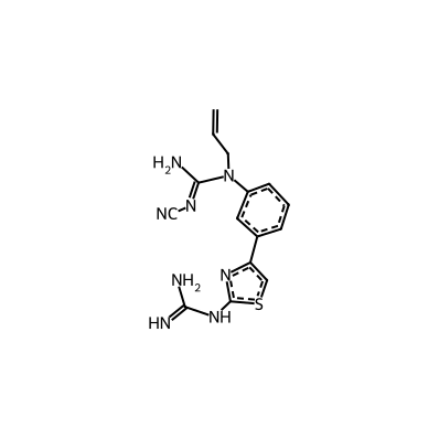 C=CCN(C(N)=NC#N)c1cccc(-c2csc(NC(=N)N)n2)c1